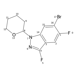 Fc1cc2c(F)nn(C3CCCCO3)c2cc1Br